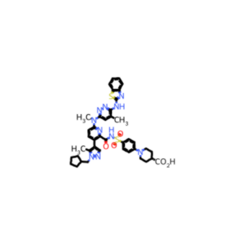 Cc1cc(N(C)c2ccc(-c3cnn(CC4CCCC4)c3C)c(C(=O)NS(=O)(=O)c3ccc(N4CCC(C(=O)O)CC4)cc3)n2)nnc1Nc1nc2ccccc2s1